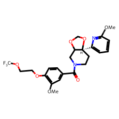 COc1cccc([C@]23CCN(C(=O)c4ccc(OCCOC(F)(F)F)c(OC)c4)CC2OCO3)n1